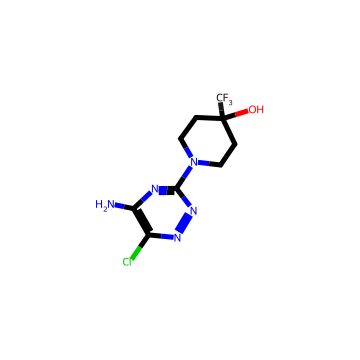 Nc1nc(N2CCC(O)(C(F)(F)F)CC2)nnc1Cl